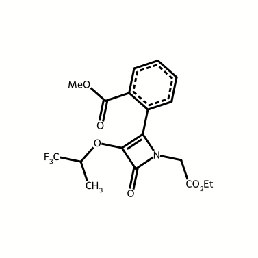 CCOC(=O)CN1C(=O)C(OC(C)C(F)(F)F)=C1c1ccccc1C(=O)OC